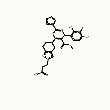 COC(=O)C1=C(C2CCc3nn(CCC(=O)O)cc3C2)NC(c2nccs2)=NC1c1ccc(F)c(F)c1Br